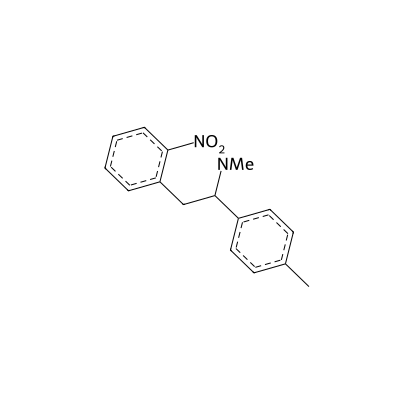 CNC(Cc1ccccc1[N+](=O)[O-])c1ccc(C)cc1